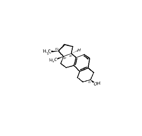 C[C@H]1CC[C@H]2c3ccc4c(c3CC[C@]12C)CC[C@H](O)C4